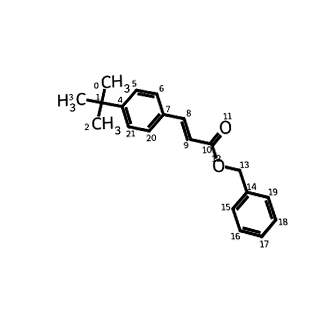 CC(C)(C)c1ccc(/C=C/C(=O)OCc2ccccc2)cc1